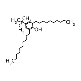 CCCCCCCCCCc1cc(C(C)(C)C)cc(CCCCCCCCCC)c1O